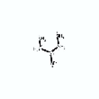 CCCN([SiH2][SiH3])[SiH2][SiH3]